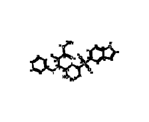 CC(C)CN(C[C@@H](O)[C@H](Cc1ccccc1)N(C)C(=O)OC(C)C)S(=O)(=O)c1ccc2occc2c1